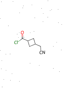 N#CCC1CC(C(=O)Cl)C1